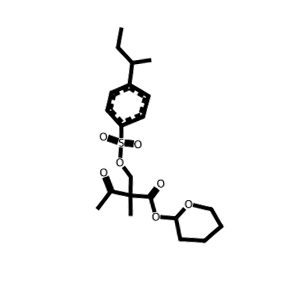 CCC(C)c1ccc(S(=O)(=O)OCC(C)(C(C)=O)C(=O)OC2CCCCO2)cc1